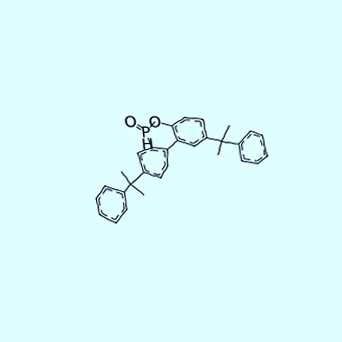 CC(C)(c1ccccc1)c1ccc2c(c1)-c1ccc(C(C)(C)c3ccccc3)cc1[PH](=O)O2